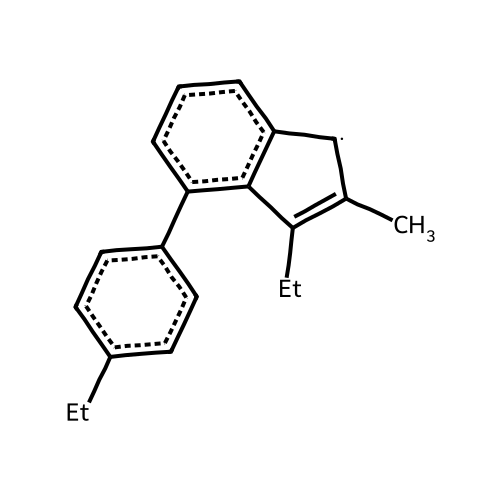 CCC1=C(C)[CH]c2cccc(-c3ccc(CC)cc3)c21